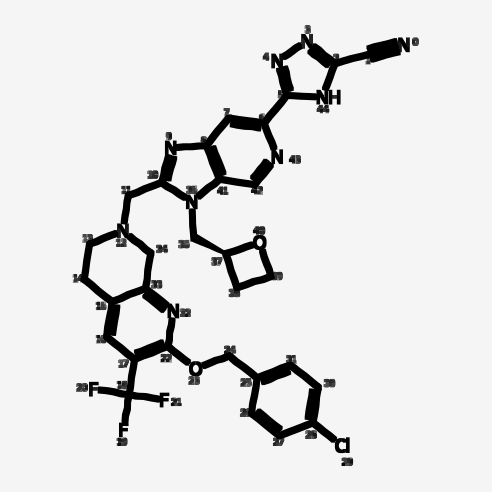 N#Cc1nnc(-c2cc3nc(CN4CCc5cc(C(F)(F)F)c(OCc6ccc(Cl)cc6)nc5C4)n(C[C@@H]4CCO4)c3cn2)[nH]1